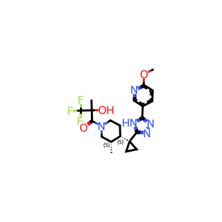 COc1ccc(-c2nnc(C3([C@H]4CCN(C(=O)C(C)(O)C(F)(F)F)C[C@H]4C)CC3)[nH]2)cn1